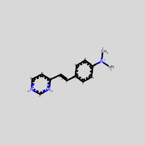 CCCN(C)c1ccc(/C=C/c2ccncn2)cc1